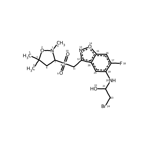 CN1OC(C)(C)CC1S(=O)(=O)Cc1noc2cc(F)c(NC(O)CBr)cc12